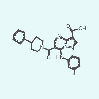 Cc1cccc(Nc2c(C(=O)N3CCC(c4ccccc4)CC3)cnc3c(C(=O)O)cnn23)c1